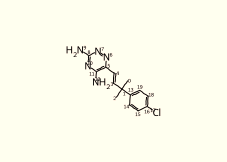 CC(C)(C=Cc1nnc(N)nc1N)c1ccc(Cl)cc1